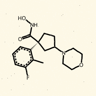 Cc1c(F)cccc1[C@]1(C(=O)NO)CCC(N2CCOCC2)C1